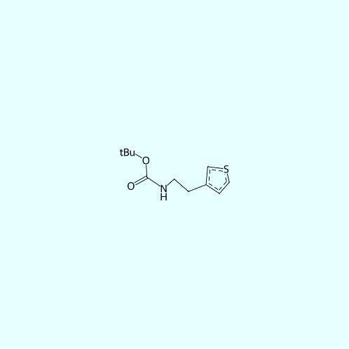 CC(C)(C)OC(=O)NCCc1ccsc1